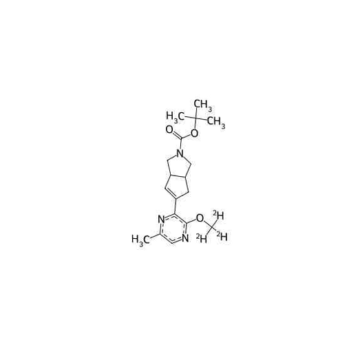 [2H]C([2H])([2H])Oc1ncc(C)nc1C1=CC2CN(C(=O)OC(C)(C)C)CC2C1